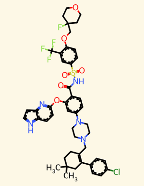 CC1(C)CCC(CN2CCN(c3ccc(C(=O)NS(=O)(=O)c4ccc(OCC5(F)CCOCC5)c(C(F)(F)F)c4)c(Oc4ccc5[nH]ccc5n4)c3)CC2)=C(c2ccc(Cl)cc2)C1